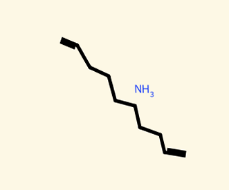 C=CCCCCCCC=C.N